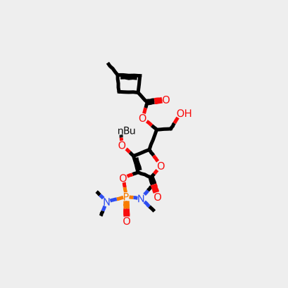 CCCCOC1=C(OP(=O)(N(C)C)N(C)C)C(=O)OC1C(CO)OC(=O)C1C=C(C)C1